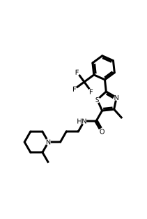 Cc1nc(-c2ccccc2C(F)(F)F)sc1C(=O)NCCCN1CCCCC1C